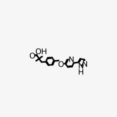 CC(C)(Cc1ccc(COc2ccc(-c3ccn[nH]3)nc2)cc1)C(=O)O